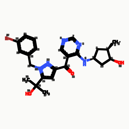 [CH2][C@@H]1C[C@@H](Nc2ncncc2C(=O)c2cc(C(C)(C)O)n(Cc3cccc(Br)c3)n2)C[C@@H]1O